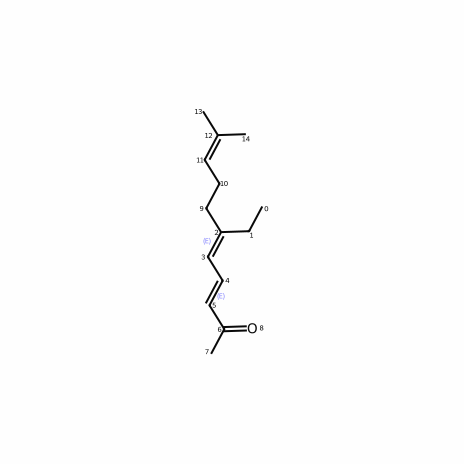 CC/C(=C\C=C\C(C)=O)CCC=C(C)C